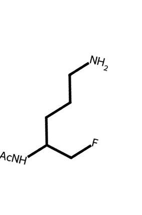 CC(=O)NC(CF)CCCN